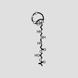 C=C(C)C(=O)OCC(O)COC(=O)CCNCCNCCNCCC[Si]12OC3CCCCCCCCCCC(CC(C3)O1)O2